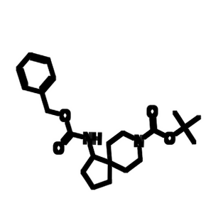 CC(C)(C)OC(=O)N1CCC2(CCCC2NC(=O)OCc2ccccc2)CC1